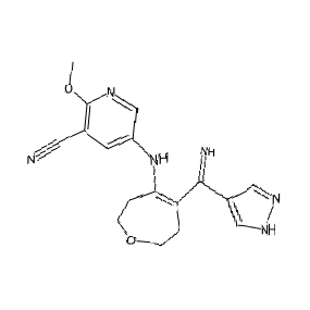 COc1ncc(NC2=C(C(=N)c3cn[nH]c3)CCOCC2)cc1C#N